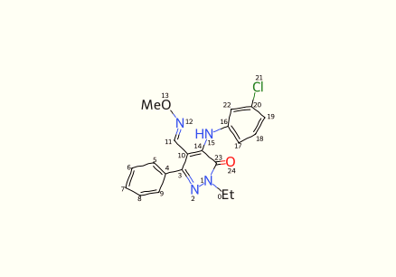 CCn1nc(-c2ccccc2)c(C=NOC)c(Nc2cccc(Cl)c2)c1=O